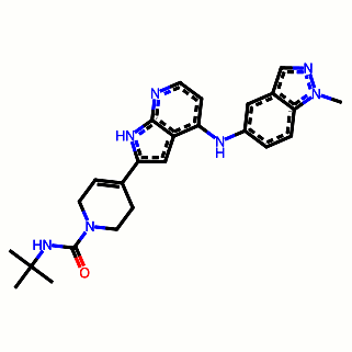 Cn1ncc2cc(Nc3ccnc4[nH]c(C5=CCN(C(=O)NC(C)(C)C)CC5)cc34)ccc21